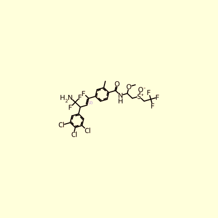 COC(C[S+]([O-])CC(F)(F)F)NC(=O)c1ccc(/C(F)=C/C(c2cc(Cl)c(Cl)c(Cl)c2)C(N)(F)F)cc1C